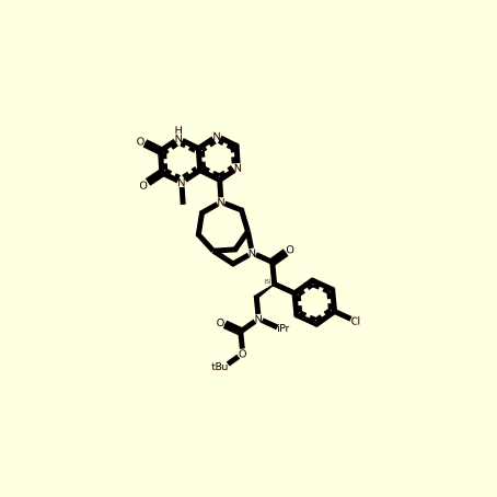 CC(C)N(C[C@@H](C(=O)N1CC2CCN(c3ncnc4[nH]c(=O)c(=O)n(C)c34)CC1C2)c1ccc(Cl)cc1)C(=O)OC(C)(C)C